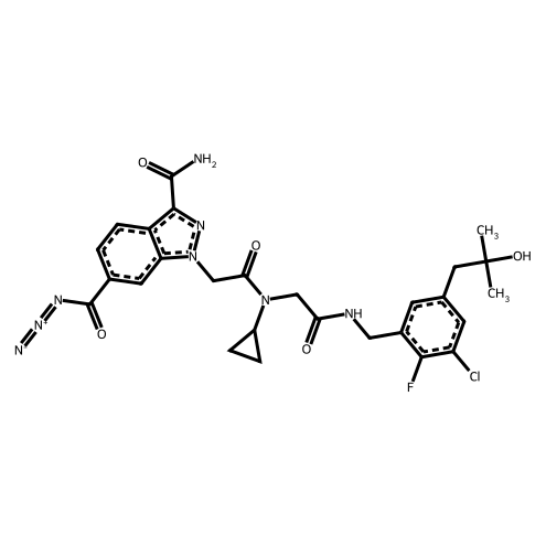 CC(C)(O)Cc1cc(Cl)c(F)c(CNC(=O)CN(C(=O)Cn2nc(C(N)=O)c3ccc(C(=O)N=[N+]=[N-])cc32)C2CC2)c1